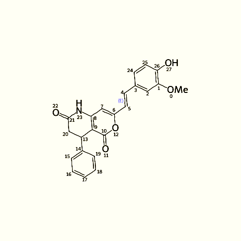 COc1cc(/C=C/c2cc3c(c(=O)o2)C(c2ccccc2)CC(=O)N3)ccc1O